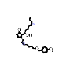 CC/C=C\CCCC(O)C1C(=O)C=C[C@@H]1C/C=C\CCCCOCc1ccc(OC)cc1